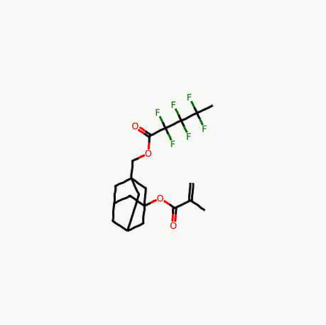 C=C(C)C(=O)OC12CC3CC(CC(COC(=O)C(F)(F)C(F)(F)C(C)(F)F)(C3)C1)C2